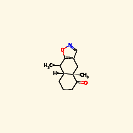 C[C@H]1c2oncc2C[C@@]2(C)C(=O)CCC[C@H]12